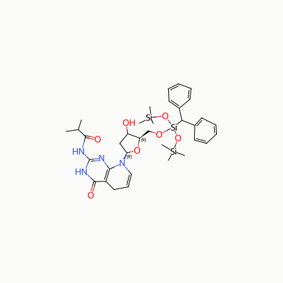 CC(C)C(=O)Nc1nc2c(c(=O)[nH]1)CC=CN2[C@H]1CC(O)[C@@H](CO[Si](O[Si](C)(C)C)(O[Si](C)(C)C)C(c2ccccc2)c2ccccc2)O1